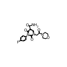 NC(=O)c1cn(CC(=O)N2CCOCC2)c(=O)n(-c2ccc(F)cc2)c1=O